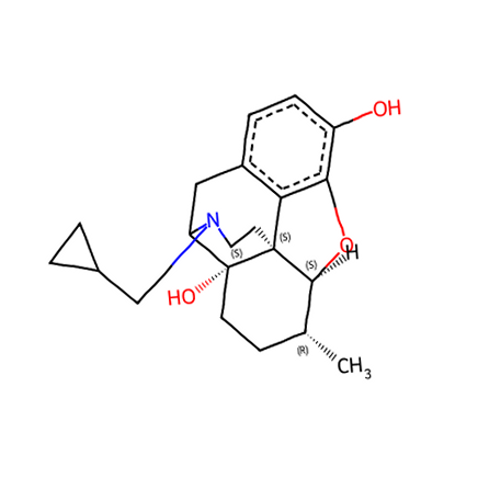 C[C@@H]1CC[C@@]2(O)C3Cc4ccc(O)c5c4[C@@]2(CCN3CC2CC2)[C@H]1O5